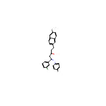 COc1ccc2cc(CCC(O)CC(Nc3ccc(C(F)(F)F)cc3)c3cccc(Cl)c3)ccc2c1